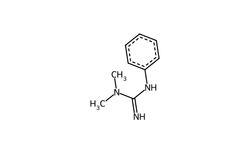 CN(C)C(=N)Nc1ccccc1